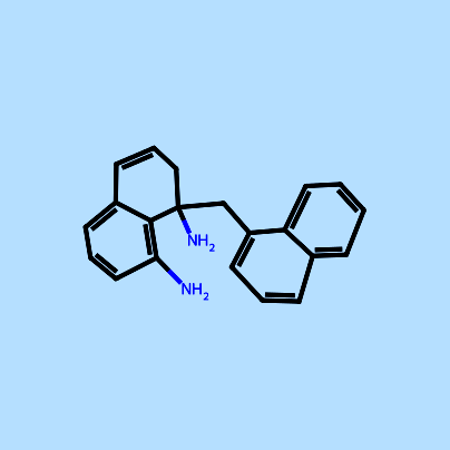 Nc1cccc2c1C(N)(Cc1cccc3ccccc13)CC=C2